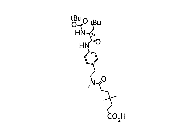 CCC(C)C[C@H](NC(=O)OC(C)(C)C)C(=O)Nc1ccc(CCN(C)C(=O)CCC(C)(C)CCC(=O)O)cc1